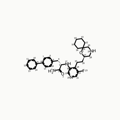 NC(=O)[C@H](Cc1ccc(-c2ccccc2)cc1)Nc1cncc(F)c1CC[C@@H]1CNCC2(CCCCC2)O1